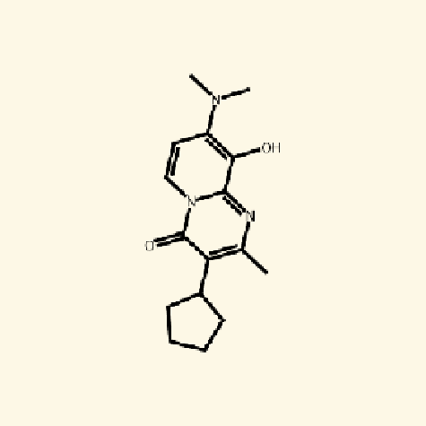 Cc1nc2c(O)c(N(C)C)ccn2c(=O)c1C1CCCC1